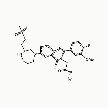 COc1cc(-c2nc3ccc(N4CCCNC(CCS(C)(=O)=O)C4)cc3c(=O)n2CC(=O)NC(C)C)ccc1F